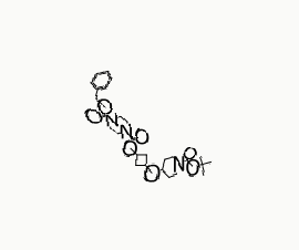 CC(C)(C)OC(=O)N1CCC(OC2CC(OC(=O)N3CCN(C(=O)OCc4ccccc4)CC3)C2)CC1